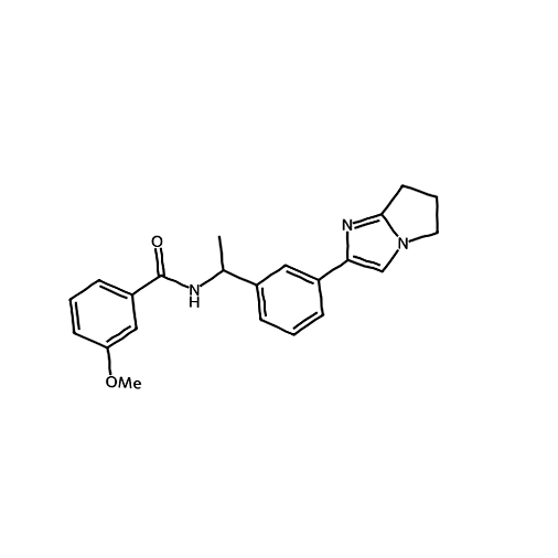 COc1cccc(C(=O)NC(C)c2cccc(-c3cn4c(n3)CCC4)c2)c1